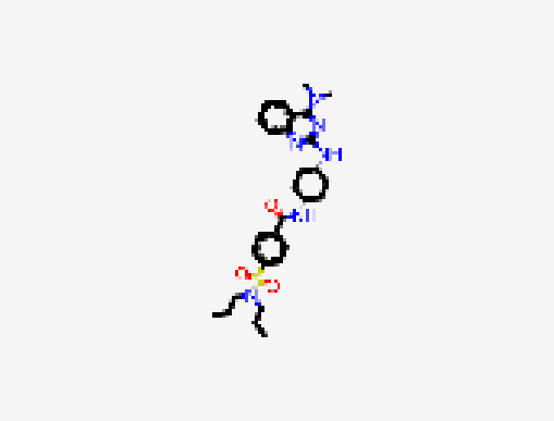 CCCN(CCC)S(=O)(=O)c1ccc(C(=O)N[C@H]2CC[C@@H](Nc3nc(N(C)C)c4ccccc4n3)CC2)cc1